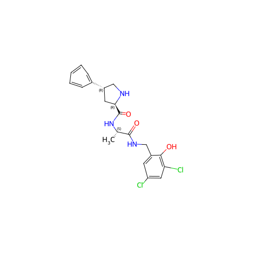 C[C@H](NC(=O)[C@H]1C[C@H](c2ccccc2)CN1)C(=O)NCc1cc(Cl)cc(Cl)c1O